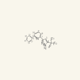 FC(F)(F)c1cc(-c2cccc(-c3ccccc3)n2)n[nH]1